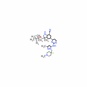 Cc1cc(Nc2nccc(-c3cc(C#N)c4c(c3)[C@@](C)(CO[Si](C)(C)C(C)(C)C)CN4)n2)n(CC2(F)CCN(C)CC2)n1